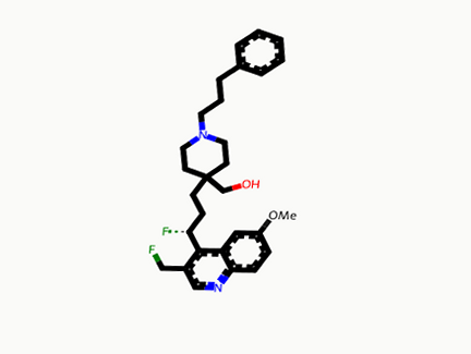 COc1ccc2ncc(CF)c([C@H](F)CCC3(CO)CCN(CCCc4ccccc4)CC3)c2c1